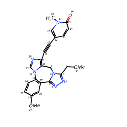 COCc1nnc2n1Cc1c(C#Cc3ccc(=O)n(C)c3)ncn1-c1ccc(OC)cc1-2